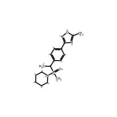 CC(c1ccc(-c2noc(C(F)(F)F)n2)cc1)P(C)(=O)N1CCCCC1